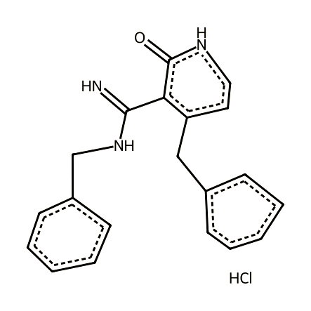 Cl.N=C(NCc1ccccc1)c1c(Cc2ccccc2)cc[nH]c1=O